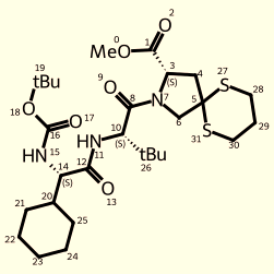 COC(=O)[C@@H]1CC2(CN1C(=O)[C@@H](NC(=O)[C@@H](NC(=O)OC(C)(C)C)C1CCCCC1)C(C)(C)C)SCCCS2